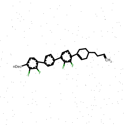 C=CCCC1CC=C(c2ccc(-c3ccc(-c4ccc(CCCCCCCCCC)c(F)c4F)cc3)c(F)c2F)CC1